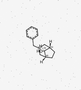 O[C@@H]1[C@@H]2CC[C@H]1CN(Cc1ccccc1)C2